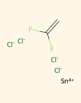 C=C(F)F.[Cl-].[Cl-].[Cl-].[Cl-].[Sn+4]